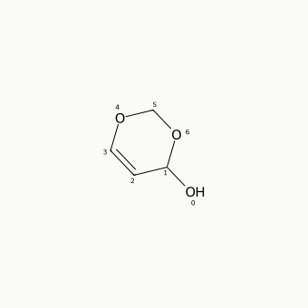 OC1C=COCO1